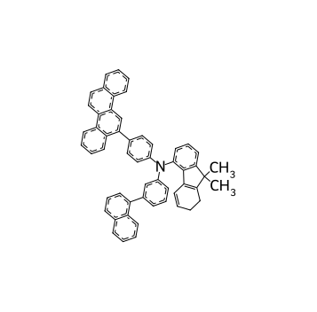 CC1(C)C2=C(C=CCC2)c2c(N(c3ccc(-c4cc5c6ccccc6ccc5c5ccccc45)cc3)c3cccc(-c4cccc5ccccc45)c3)cccc21